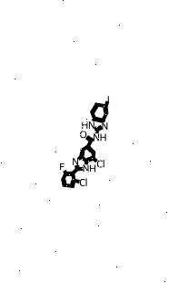 O=C(Nc1nc2cc(I)ccc2[nH]1)c1cc(Cl)c2[nH]c(-c3c(F)cccc3Cl)nc2c1